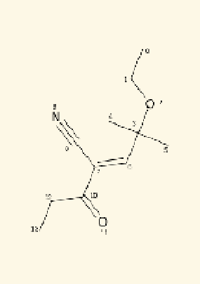 CCOC(C)(C)/C=C(\C#N)C(=O)CC